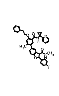 CNC(=O)C1c2cc(-c3cc(C(=O)NC4(c5ccccn5)CC4)c(OCCc4ccccc4)cc3C)ccc2OC1c1ccc(F)cc1